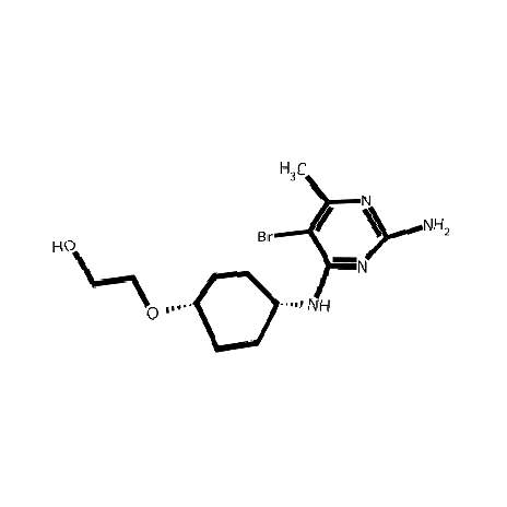 Cc1nc(N)nc(N[C@H]2CC[C@@H](OCCO)CC2)c1Br